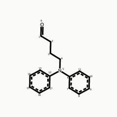 O=[C]CCCN(c1ccccc1)c1ccccc1